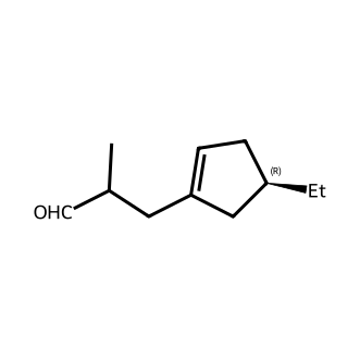 CC[C@@H]1CC=C(CC(C)C=O)C1